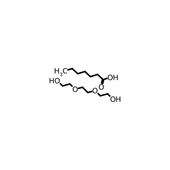 CCCCCCC(=O)O.OCCOCCOCCO